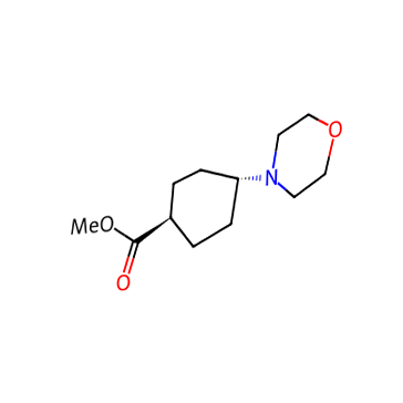 COC(=O)[C@H]1CC[C@H](N2CCOCC2)CC1